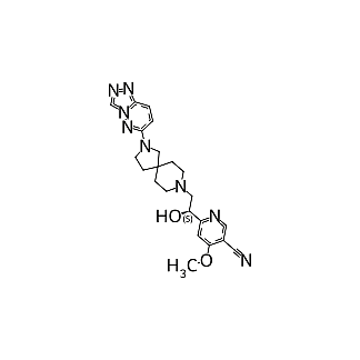 COc1cc([C@@H](O)CN2CCC3(CC2)CCN(c2ccc4nncn4n2)C3)ncc1C#N